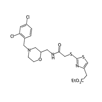 CCOC(=O)Cc1csc(SCC(=O)NCC2CN(Cc3ccc(Cl)cc3Cl)CCO2)n1